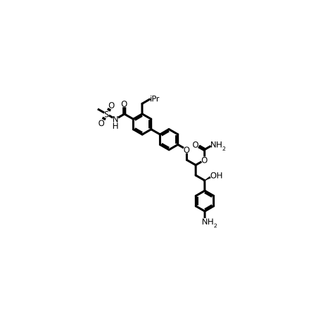 CC(C)Cc1cc(-c2ccc(OCC(C[C@@H](O)c3ccc(N)cc3)OC(N)=O)cc2)ccc1C(=O)NS(C)(=O)=O